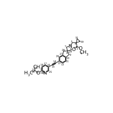 COC(=O)C1(CN2CC3(Cc4ccc(C#Cc5ccc(OC(C)C)nc5)cc4C3)C2)CC1